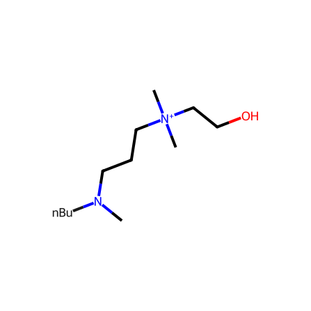 CCCCN(C)CCC[N+](C)(C)CCO